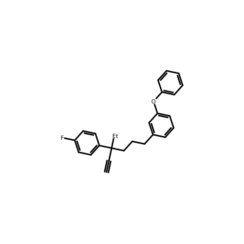 C#CC(CC)(CCCc1cccc(Oc2ccccc2)c1)c1ccc(F)cc1